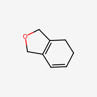 C1=CC2=C(CC1)COC2